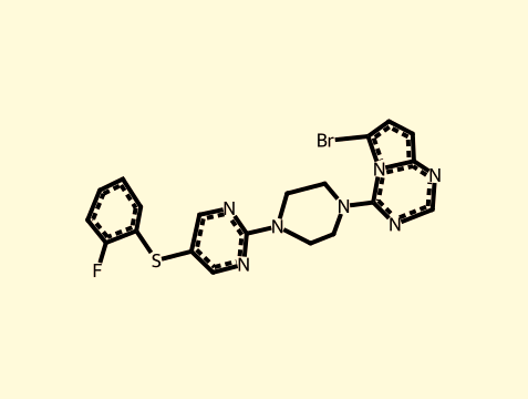 Fc1ccccc1Sc1cnc(N2CCN(c3ncnc4ccc(Br)n34)CC2)nc1